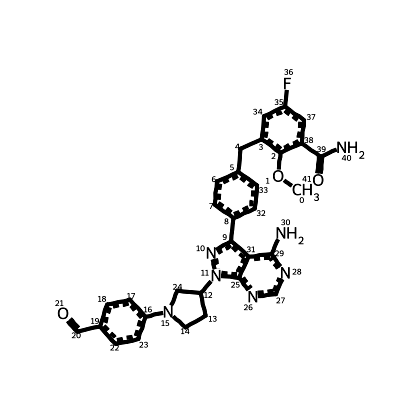 COc1c(Cc2ccc(-c3nn(C4CCN(c5ccc(C=O)cc5)C4)c4ncnc(N)c34)cc2)cc(F)cc1C(N)=O